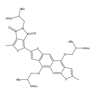 CCCCCCC(CCCC)COc1c2cc(C)sc2cc2c(OCC(CCCC)CCCCCC)c3cc(-c4sc(C)c5c4C(=O)N(CC(CCCC)CCCCCC)C5=O)sc3cc12